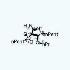 CCCCCn1nc(N)c(S(=O)(=O)CCCCC)c1OCCC